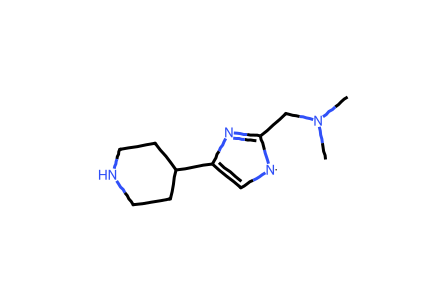 CN(C)CC1=NC(C2CCNCC2)=C[N]1